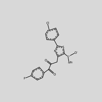 CCC[S+]([O-])c1sc(-c2ccc(Cl)cc2)nc1CC(=O)C(=O)c1ccc(F)cc1